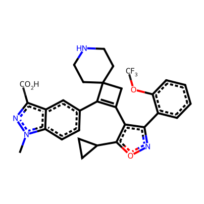 Cn1nc(C(=O)O)c2cc(C3=C(c4c(-c5ccccc5OC(F)(F)F)noc4C4CC4)CC34CCNCC4)ccc21